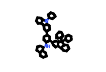 C[C@]12C=C(c3cc(-c4ccc5c(c4)c4ccccc4n5-c4ccccc4)ccc3Nc3cccc4ccccc34)C=CC1c1ccccc1C2(c1ccccc1)c1ccccc1